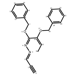 C#C/C=N/N=C(OCc1ccccc1)\C(=C/C)OCc1ccccc1